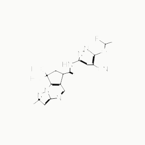 CC1(C)CC(C(=O)Nc2cc(C#N)c(OC(F)F)nn2)c2cnc3cc(F)nn3c21